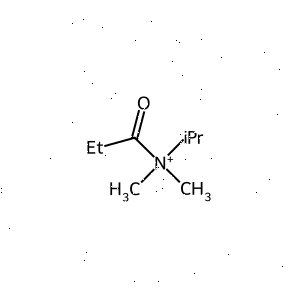 CCC(=O)[N+](C)(C)C(C)C